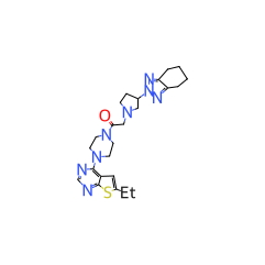 CCc1cc2c(N3CCN(C(=O)CN4CCC(n5nc6c(n5)CCCC6)C4)CC3)ncnc2s1